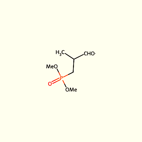 COP(=O)(CC(C)[C]=O)OC